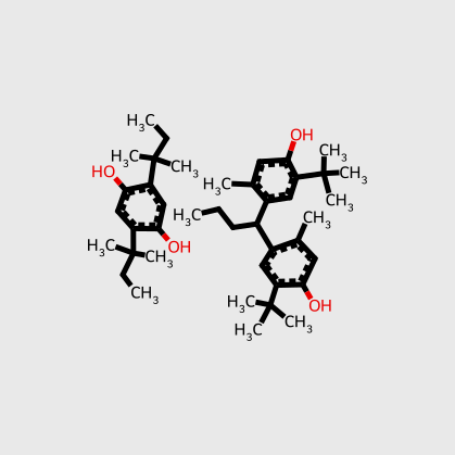 CCC(C)(C)c1cc(O)c(C(C)(C)CC)cc1O.CCCC(c1cc(C(C)(C)C)c(O)cc1C)c1cc(C(C)(C)C)c(O)cc1C